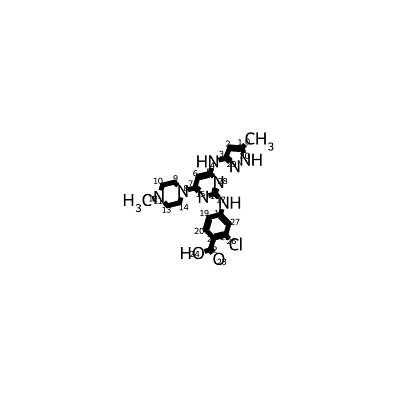 Cc1cc(Nc2cc(N3CCN(C)CC3)nc(Nc3ccc(C(=O)O)c(Cl)c3)n2)n[nH]1